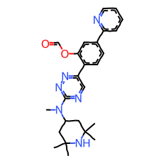 CN(c1ncc(-c2ccc(-c3ccccn3)cc2OC=O)nn1)C1CC(C)(C)NC(C)(C)C1